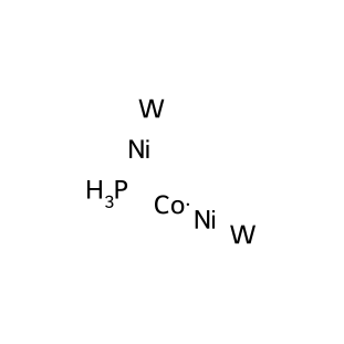 P.[Co].[Ni].[Ni].[W].[W]